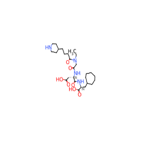 CCN(CC(=O)N[C@@H](CC(=O)O)C(=O)N[C@@H](CC1CCCCCC1)C(=O)O)C(=O)CCCC1CCNCC1